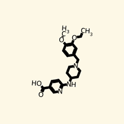 CCOc1cc(CN2CCC(Nc3ccc(C(=O)O)cn3)CC2)ccc1OC